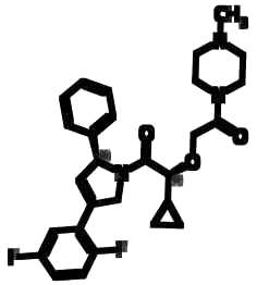 CN1CCN(C(=O)CO[C@H](C(=O)N2CC(c3cc(F)ccc3F)=C[C@H]2c2ccccc2)C2CC2)CC1